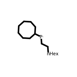 CCCCCCCC[P]C1CCCCCCC1